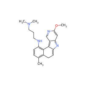 COc1cc2c(cn1)=C1C(=CCc3c(C)ccc(NCCCN(C)C)c31)N=2